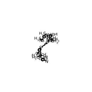 Cc1ncsc1-c1ccc([C@H](C)NC(=O)[C@@H]2C[C@@H](O)CN2C(=O)[C@@H](NC(=O)COCCCCCOc2ccc3c(c2)CN([C@H]2C(C)(C)[C@H](Oc4ccc(C#N)c(Cl)c4)C2(C)C)C3=O)C(C)(C)C)cc1